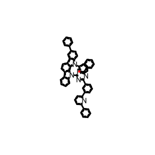 c1ccc(-c2ccc3c(c2)c2ccc4c5ccccc5n(-c5nc(-c6ccccc6)nc(-c6cccc(-c7cccc(-c8ccccc8)n7)c6)n5)c4c2n3-c2ccccc2)cc1